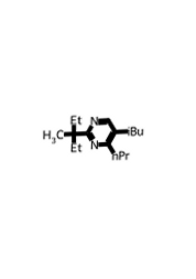 CCCc1nc(C(C)(CC)CC)ncc1C(C)CC